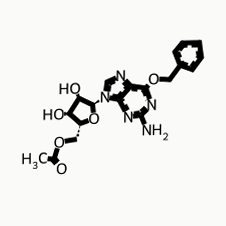 CC(=O)OC[C@H]1O[C@@H](n2cnc3c(OCc4ccccc4)nc(N)nc32)[C@H](O)[C@@H]1O